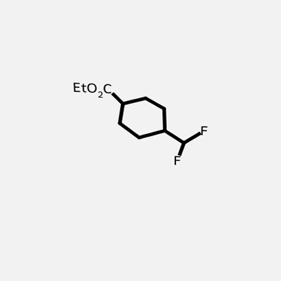 CCOC(=O)C1CCC(C(F)F)CC1